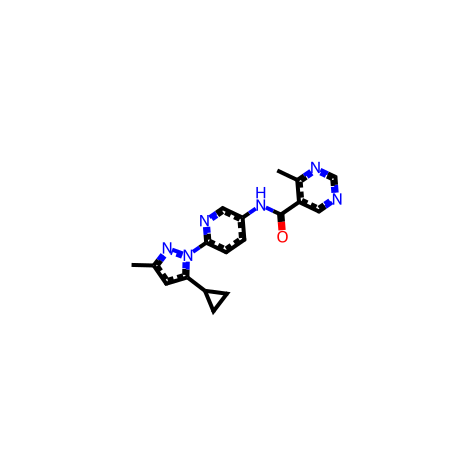 Cc1cc(C2CC2)n(-c2ccc(NC(=O)c3cncnc3C)cn2)n1